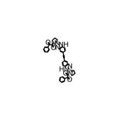 O=C(C(=O)N1CCC[C@H]1c1nc2cc(C#Cc3ccc4[nH]c([C@@H]5CCCN5C(=O)C(=O)c5ccccc5)nc4c3)ccc2[nH]1)c1ccccc1